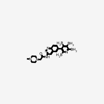 Bc1nc(B)c(-c2ccc3nnc(NC(=O)CN4CCN(C)CC4)cc3c2)c(B)c1B